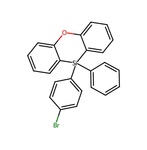 Brc1ccc([Si]2(c3ccccc3)c3ccccc3Oc3ccccc32)cc1